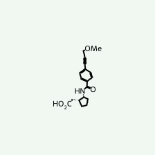 COCC#Cc1ccc(C(=O)N[C@@H]2CCC[C@@H]2CC(=O)O)cc1